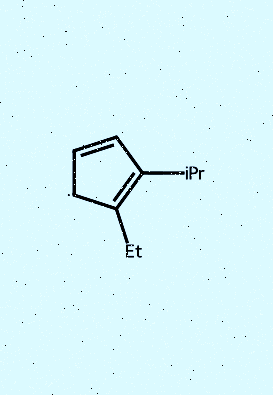 CCC1=C(C(C)C)C=C[CH]1